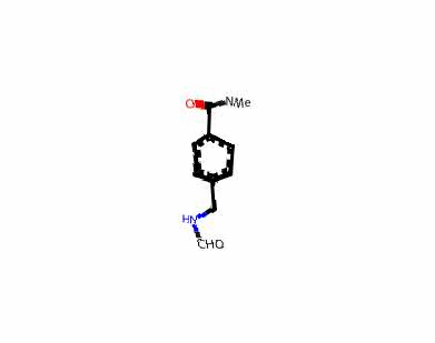 CNC(=O)c1ccc(CNC=O)cc1